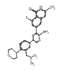 Cc1cc2cc(-c3nc(-c4ccc(C5CCOCC5)c(CN(C)C)c4)cnc3N)cc(F)c2c(=O)[nH]1